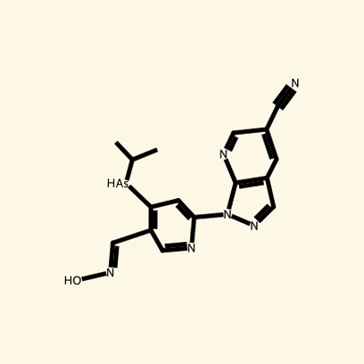 CC(C)[AsH]c1cc(-n2ncc3cc(C#N)cnc32)ncc1C=NO